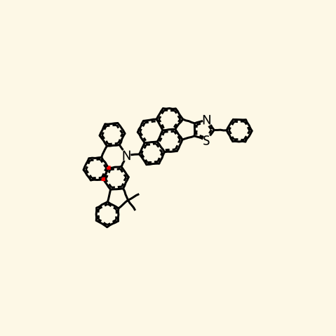 CC1(C)c2ccccc2-c2ccc(N(c3ccccc3-c3ccccc3)c3ccc4cc5c6c(ccc7ccc3c4c76)-c3nc(-c4ccccc4)sc3-5)cc21